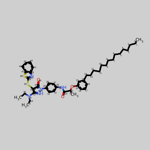 CCCCCCCCCCCCCCCc1cccc(OC(C)C(=O)Nc2ccc(-n3[nH]c(N(CC)CC)c(Sc4nc5ccccc5s4)c3=O)cc2)c1